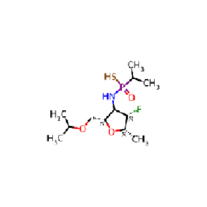 CC(C)OC[C@H]1O[C@@H](C)[C@@H](F)C1NP(=O)(S)C(C)C